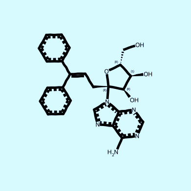 Nc1ncnc2c1ncn2[C@]1(CC=C(c2ccccc2)c2ccccc2)O[C@H](CO)[C@@H](O)[C@H]1O